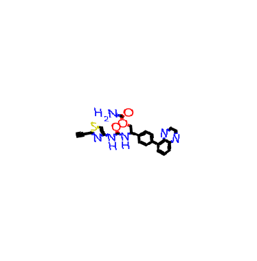 C#Cc1nc(NC(=O)NC(COC(N)=O)c2ccc(-c3cccc4nccnc34)cc2)cs1